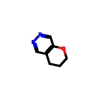 c1nncc2c1CCCO2